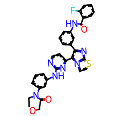 O=C(Nc1cccc(-c2nc3sccn3c2-c2ccnc(Nc3cccc(N4CCOCC4=O)c3)n2)c1)c1ccccc1F